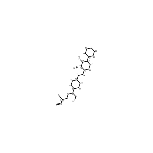 C=C[C@@H](I)CCC(CF)C1CCC(CCC2CCC(C3CCCCC3)C(F)[C@H]2F)CC1